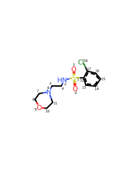 O=S(=O)(NCCN1CCOCC1)c1c[c]ccc1Cl